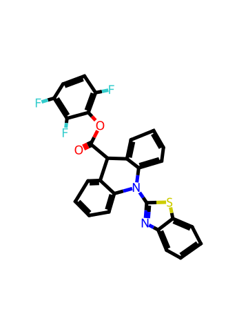 O=C(Oc1c(F)ccc(F)c1F)C1c2ccccc2N(c2nc3ccccc3s2)c2ccccc21